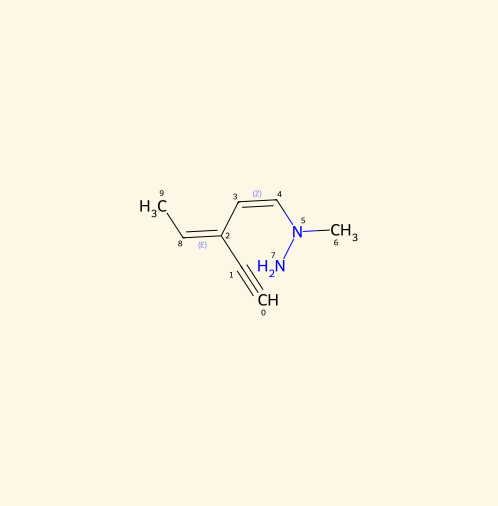 C#CC(/C=C\N(C)N)=C/C